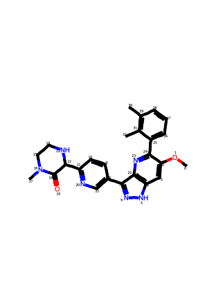 COc1cc2[nH]nc(-c3ccc(C4NCCN(C)C4=O)nc3)c2nc1-c1cccc(C)c1C